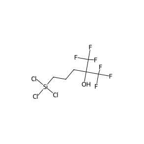 OC(CCC[Si](Cl)(Cl)Cl)(C(F)(F)F)C(F)(F)F